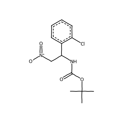 CC(C)(C)OC(=O)NC(C[N+](=O)[O-])c1ccccc1Cl